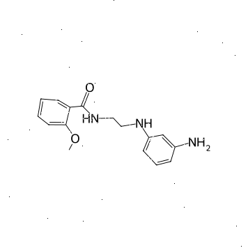 COc1ccccc1C(=O)NCCNc1cccc(N)c1